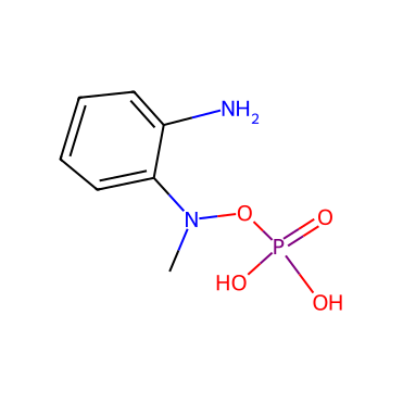 CN(OP(=O)(O)O)c1ccccc1N